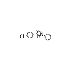 Clc1ccc(-c2[c]cn(-c3ccccc3)n2)cc1